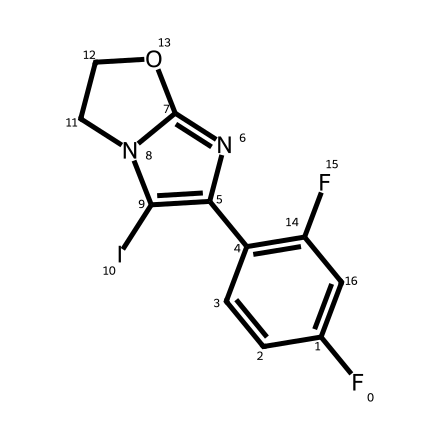 Fc1ccc(-c2nc3n(c2I)CCO3)c(F)c1